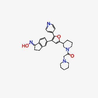 O=C(CN1CCCCC1)N1CCCC(c2cc(-c3ccc4c(c3)CCC4=NO)c(-c3ccncc3)o2)C1